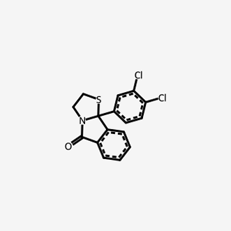 O=C1c2ccccc2C2(c3ccc(Cl)c(Cl)c3)SCCN12